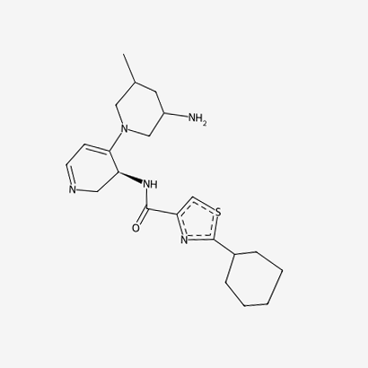 CC1CC(N)CN(C2=CC=NC[C@@H]2NC(=O)c2csc(C3CCCCC3)n2)C1